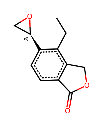 CCc1c([C@H]2CO2)ccc2c1COC2=O